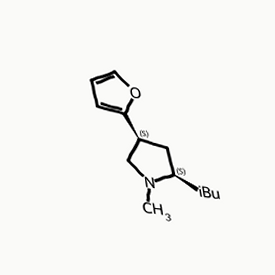 CCC(C)[C@@H]1C[C@H](c2ccco2)CN1C